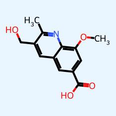 COc1cc(C(=O)O)cc2cc(CO)c(C)nc12